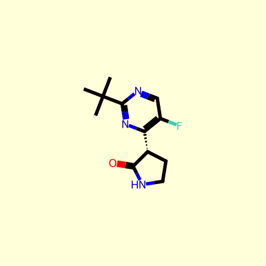 CC(C)(C)c1ncc(F)c([C@@H]2CCNC2=O)n1